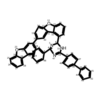 c1ccc(C2=NC(c3cccc4oc5ccc(-c6ccc7c(c6)oc6ccccc67)cc5c34)NC(c3ccc(-c4ccccc4)cc3)=N2)cc1